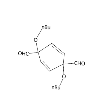 CCCCOC1(C=O)C=CC(C=O)(OCCCC)C=C1